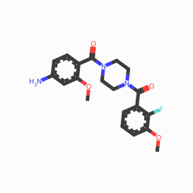 COc1cc(N)ccc1C(=O)N1CCN(C(=O)c2cccc(OC)c2F)CC1